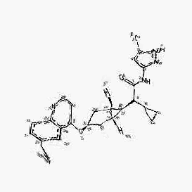 O=C(Nc1cc(C(F)(F)F)[nH]n1)C(C1CC1)[C@H]1[C@@H]2C[C@@H](Oc3ccnc4ccc(F)cc34)C[C@@H]21